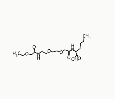 CCCCC(NC(=O)COCCOCCNC(=O)COCC)C(=O)O